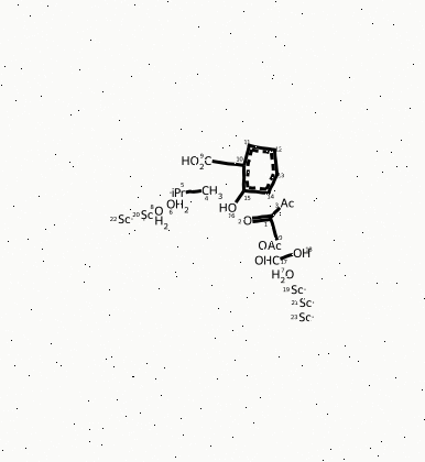 CC(=O)OC(=O)C(C)=O.C[C](C)C.O.O.O.O=C(O)c1ccccc1O.O=CO.[Sc].[Sc].[Sc].[Sc].[Sc]